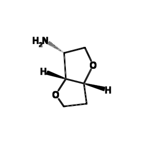 N[C@@H]1CO[C@@H]2CCO[C@H]12